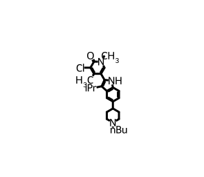 CCCCN1CCC(c2ccc3[nH]c(-c4cn(C)c(=O)c(Cl)c4C)c(C(C)C)c3c2)CC1